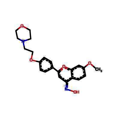 COc1ccc2/c(=N\O)cc(-c3ccc(OCCN4CCOCC4)cc3)oc2c1